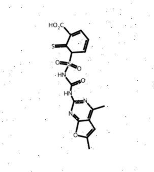 Cc1cc2c(C)nc(NC(=O)NS(=O)(=O)C3C=CC=C(C(=O)O)C3=S)nc2o1